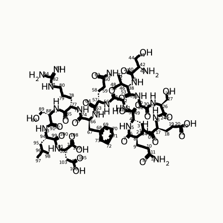 CC(C)C[C@H](NC(=O)[C@H](CCC(N)=O)NC(=O)[C@H](CCC(=O)O)NC(=O)[C@H](CO)NC(=O)[C@H](CO)NC(=O)[C@@H](NC(=O)[C@@H](N)CO)C(C)C)C(=O)N[C@@H](C)C(=O)N[C@@H](CCC(N)=O)C(=O)N[C@@H](Cc1ccccc1)C(=O)N[C@@H](CCCNC(=N)N)C(=O)N[C@@H](CO)C(=O)N[C@@H](CC(C)C)C(=O)N[C@@H](CC(=O)O)C(=O)O